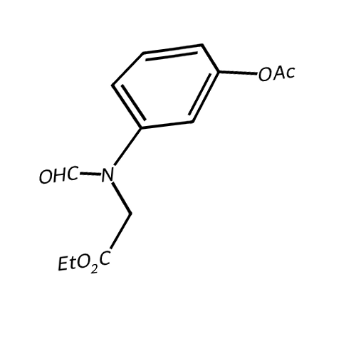 CCOC(=O)CN(C=O)c1cccc(OC(C)=O)c1